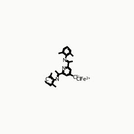 CC(=Nc1c(C)cccc1C)c1cc(C)cc(C(C)=Nc2c(C)cccc2C)n1.[Cl-].[Cl-].[Fe+2]